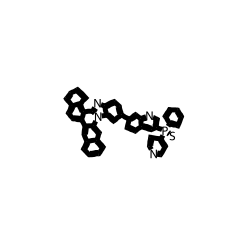 S=P(c1ccccc1)(c1ccncc1)c1cnc2cc(-c3ccc4nc5c6c7ccccc7ccc6c6cc7ccccc7cc6n5c4c3)ccc2c1